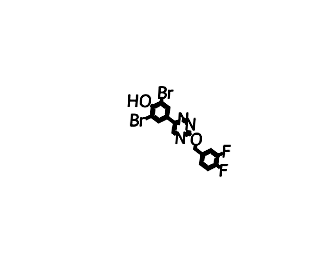 Oc1c(Br)cc(-c2cnc(OCc3ccc(F)c(F)c3)nn2)cc1Br